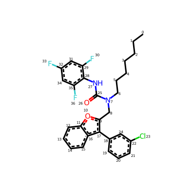 CCCCCCCN(Cc1oc2ccccc2c1-c1cccc(Cl)c1)C(=O)Nc1c(F)cc(F)cc1F